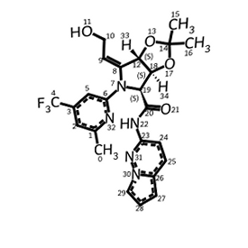 Cc1cc(C(F)(F)F)cc(N2C(=CCO)[C@@H]3OC(C)(C)O[C@H]3[C@H]2C(=O)Nc2ccc3cccn3n2)n1